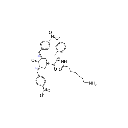 NCCCCCCC(=O)N[C@@H](Cc1ccccc1)C(=O)N1C/C(=C\c2ccc([N+](=O)[O-])cc2)C(=O)/C(=C/c2ccc([N+](=O)[O-])cc2)C1